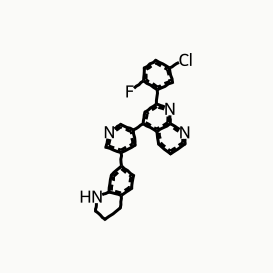 Fc1ccc(Cl)cc1-c1cc(-c2cncc(-c3ccc4c(c3)NCCC4)c2)c2cccnc2n1